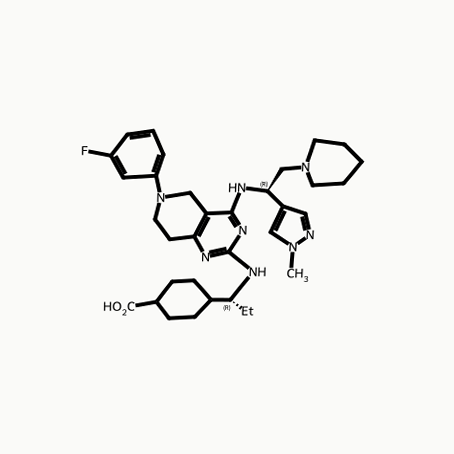 CC[C@@H](Nc1nc2c(c(N[C@@H](CN3CCCCC3)c3cnn(C)c3)n1)CN(c1cccc(F)c1)CC2)C1CCC(C(=O)O)CC1